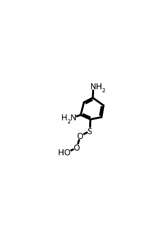 Nc1ccc(SOOO)c(N)c1